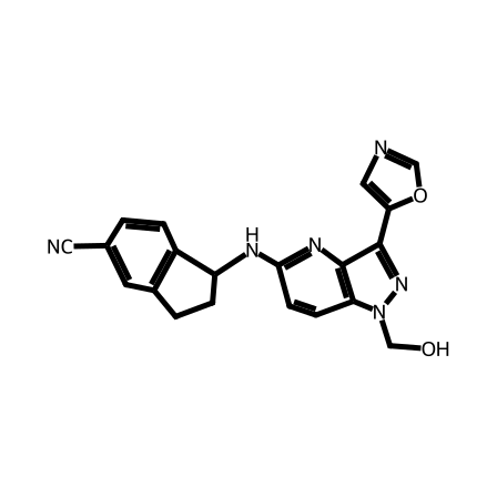 N#Cc1ccc2c(c1)CCC2Nc1ccc2c(n1)c(-c1cnco1)nn2CO